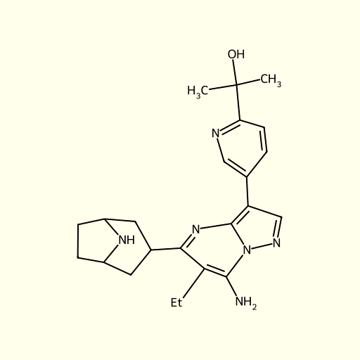 CCc1c(C2CC3CCC(C2)N3)nc2c(-c3ccc(C(C)(C)O)nc3)cnn2c1N